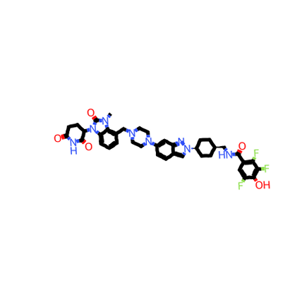 Cn1c(=O)n(C2CCC(=O)NC2=O)c2cccc(CN3CCN(c4ccc5cn([C@H]6CC[C@H](CNC(=O)c7cc(F)c(O)c(F)c7F)CC6)nc5c4)CC3)c21